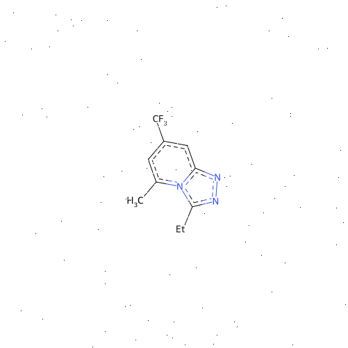 CCc1nnc2cc(C(F)(F)F)cc(C)n12